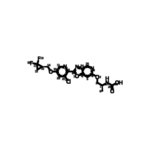 C[C@@H](COc1cc2oc(-c3ncc(OC[C@H]4CC4(F)F)cc3Cl)nc2cn1)NC(=O)O